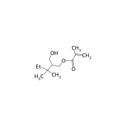 C=C(C)C(=O)OCC(CO)C(C)(C)CC